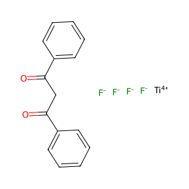 O=C(CC(=O)c1ccccc1)c1ccccc1.[F-].[F-].[F-].[F-].[Ti+4]